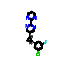 Fc1cc(Cl)cc([C@@H]2C[C@H]2c2cnc(-c3ncccn3)nc2)c1